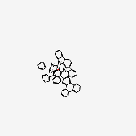 c1ccc(-c2ccc(-n3c4ccccc4c4ccc5c6ccccc6n(-c6nc(-c7ccccc7)nc(-c7ccccc7)n6)c5c43)c(-c3ccc4c5ccccc5c5ccccc5c4c3)c2)cc1